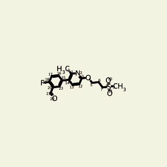 Cc1nc(OCCCS(C)(=O)=O)ccc1-c1ccc(F)c(C=O)c1